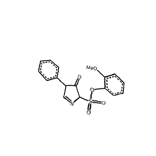 COc1ccccc1OS(=O)(=O)C1N=CC(c2ccccc2)C1=O